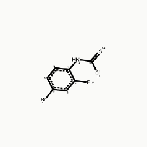 Fc1cc(Br)ccc1NC(=S)Cl